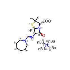 CC1(C)S[C@@H]2[C@H](N=CN3CCCCCC3)C(=O)N2[C@H]1C(=O)[O-].CCCC[N+](CCCC)(CCCC)CCCC